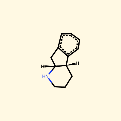 c1ccc2c(c1)C[C@H]1NCCC[C@@H]21